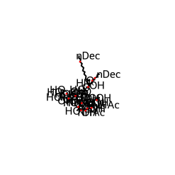 CCCCCCCCCCCCC/C=C/[C@@H](O)[C@H](CO[C@@H]1OC(CO)[C@@H](O[C@@H]2OC(CO)[C@H](O[C@@H]3OC(CO)[C@H](O)[C@H](O[C@@H]4OC(CO)[C@H](O)[C@H](O)C4O)C3NC(C)=O)[C@H](O[C@]3(C(=O)O)CC(O)[C@@H](NC(C)=O)C([C@H](O)[C@@H](CO)O[C@]4(C(=O)O)CC(O)[C@@H](NC(C)=O)C([C@H](O)[C@H](O)CO)O4)O3)C2O)[C@H](O)C1O)NC(=O)CCCCCCCCCCCCCCCCCCCCC